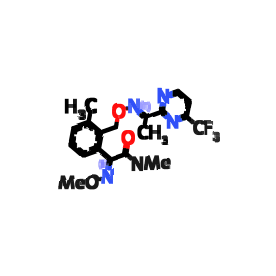 CNC(=O)/C(=N/OC)c1cccc(C)c1CO/N=C(\C)c1nccc(C(F)(F)F)n1